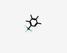 Cc1cc(C(F)(F)F)c(C)c(C)c1C